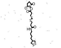 O=C(CCSSCCC(=O)ON1C(=O)CCC1=O)NCCCCC1CSSC1